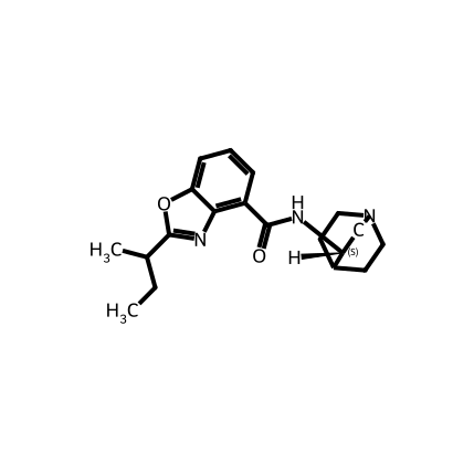 CCC(C)c1nc2c(C(=O)N[C@@H]3CN4CCC3CC4)cccc2o1